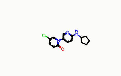 O=c1ccc(Cl)cn1-c1ccc(NC2CCCC2)nc1